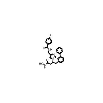 O=C(CC(Cc1cccc(-c2ccccc2)c1)n1cc(CNC(=O)c2ccc(F)cc2)nn1)NO